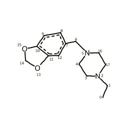 CCN1CCN(Cc2ccc3c(c2)OCO3)CC1